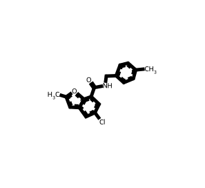 Cc1ccc(CNC(=O)c2cc(Cl)cc3cc(C)oc23)cc1